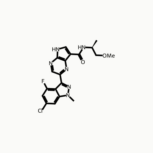 COC[C@H](C)NC(=O)c1c[nH]c2ncc(-c3nn(C)c4cc(Cl)cc(F)c34)nc12